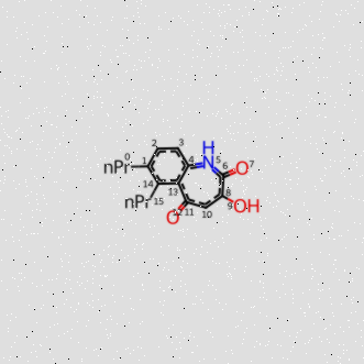 CCCc1ccc2[nH]c(=O)c(O)cc(=O)c2c1CCC